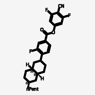 CCCCC[C@H]1CC[C@@H]2CC(c3ccc(C(=O)Oc4cc(F)c(C#N)c(F)c4)cc3F)CC[C@H]2C1